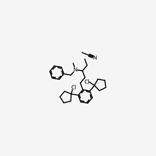 CC#N.CCC(CCc1c(C2(Cl)CCCC2)cccc1C1(Cl)CCCC1)N(C)Cc1ccccc1